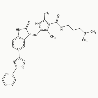 Cc1[nH]c(/C=C2\C(=O)Nc3ccc(-c4csc(-c5ccccc5)n4)cc32)c(C)c1C(=O)NCCCN(C)C